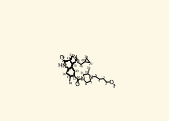 COCCCCN1CCN(C(=O)c2cc3c(cc2C)[nH]c(=O)c2cnn(CC4CC4)c23)C[C@H]1C